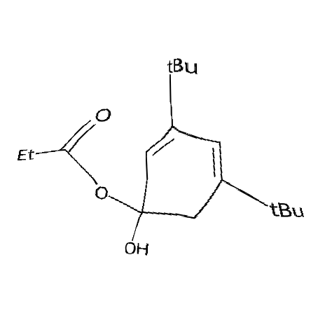 CCC(=O)OC1(O)C=C(C(C)(C)C)C=C(C(C)(C)C)C1